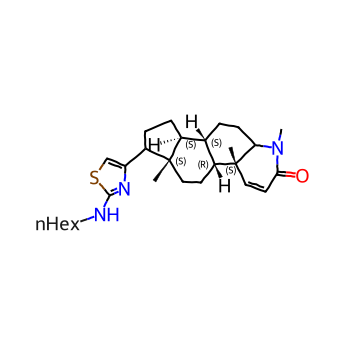 CCCCCCNc1nc(C2CC[C@H]3[C@@H]4CCC5N(C)C(=O)C=C[C@]5(C)[C@@H]4CC[C@]23C)cs1